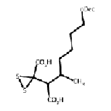 CCCCCCCCCCCCCCC(C)C(C(=O)O)C1(C(=O)O)SS1